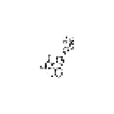 CS(=O)(=O)N[C@@H]1CN(C2=NOC(c3c(F)cc(F)c(F)c3-c3c(F)cccc3F)C2)CC1(F)F